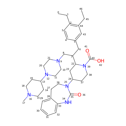 CCc1ccc(CC(CN2CCN(C3CCN(C)CC3)CC2)C2CC(N3CCc4ccccc4NC3=O)CCN2C(=O)O)cc1CC